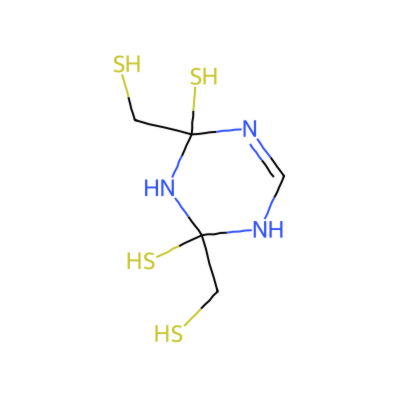 SCC1(S)N=CNC(S)(CS)N1